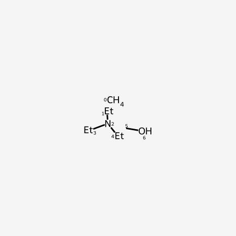 C.CCN(CC)CC.CO